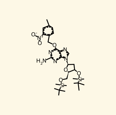 Cc1ccc(COc2nc(N)nc3c2ncn3[C@H]2CC(O[Si](C)(C)C(C)(C)C)[C@@H](CO[Si](C)(C)C(C)(C)C)O2)c([N+](=O)[O-])c1